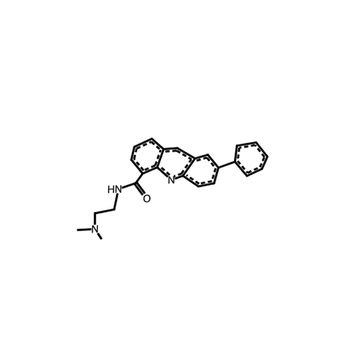 CN(C)CCNC(=O)c1cccc2cc3cc(-c4ccccc4)ccc3nc12